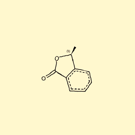 C[C@@H]1OC(=O)c2ccccc21